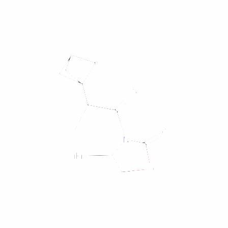 CC(C)C1COC(=O)N1C(=O)C(C)C12CC(C1)C2